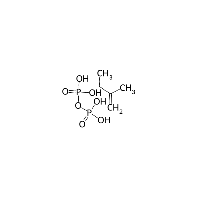 C=C(C)CC.O=P(O)(O)OP(=O)(O)O